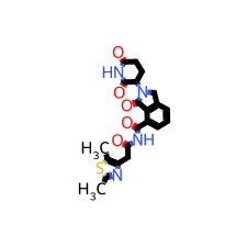 Cc1nc(CC(=O)NC(=O)c2cccc3c2C(=O)N(C2CCC(=O)NC2=O)C3)c(C)s1